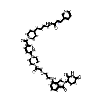 O=C(/C=C/c1cccnc1)NCCCCC1CCN(C(=O)c2ccc(N3CCN(C(=O)COCCNc4cccc5c4CN(C4CCC(=O)NC4=O)C5=O)CC3)nn2)CC1